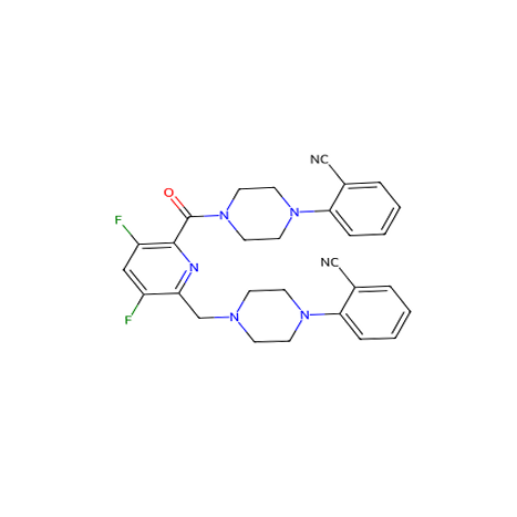 N#Cc1ccccc1N1CCN(Cc2nc(C(=O)N3CCN(c4ccccc4C#N)CC3)c(F)cc2F)CC1